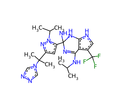 CC(C)NC1=NC(N)(c2cc(C(C)(C)n3cnnc3)nn2C(C)C)Nc2[nH]cc(C(F)(F)F)c21